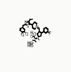 CCc1nc(Cc2ccc(Cl)c(Cl)c2)sc1C1CCN(CC2CC(N(C)[C@@H](C(=O)O)C(C)C)CC2c2cccc(F)c2)CC1.Cl.Cl.Cl